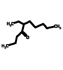 CCCCCC(CC)C(=O)CCC